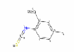 COc1cc(C)ccc1N=C=S